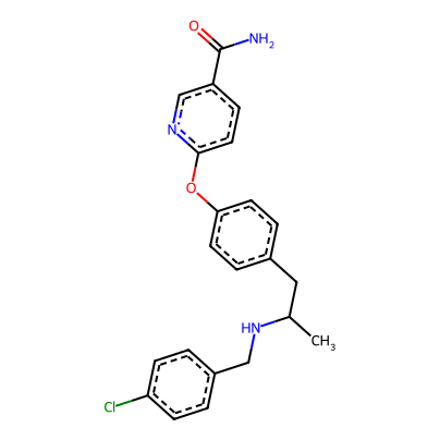 CC(Cc1ccc(Oc2ccc(C(N)=O)cn2)cc1)NCc1ccc(Cl)cc1